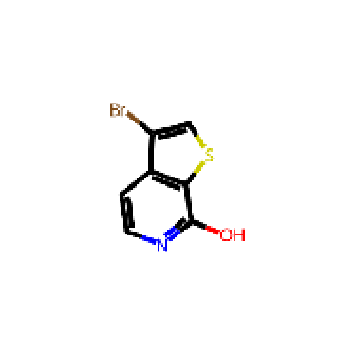 Oc1nccc2c(Br)csc12